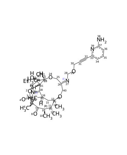 CC[C@H]1OC(=O)[C@H](C)C(=O)[C@H](C)[C@@H](C)[C@@]2(C)C[C@@H](C)/C(=N\C(C)=O)[C@H](C)[C@@H](OC/C(=N\COCC#Cc3cccc(N)n3)CO2)[C@]1(C)O